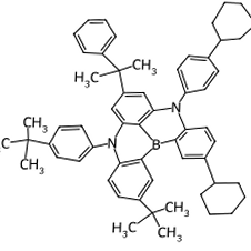 CC(C)(C)c1ccc(N2c3ccc(C(C)(C)C)cc3B3c4cc(C5CCCCC5)ccc4N(c4ccc(C5CCCCC5)cc4)c4cc(C(C)(C)c5ccccc5)cc2c43)cc1